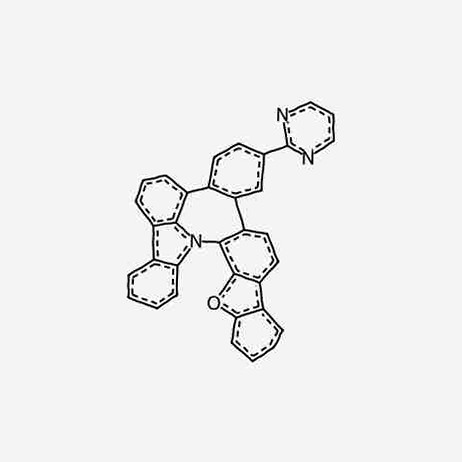 c1cnc(-c2ccc3c(c2)-c2ccc4c(oc5ccccc54)c2-n2c4ccccc4c4cccc-3c42)nc1